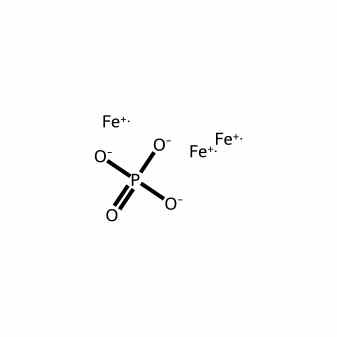 O=P([O-])([O-])[O-].[Fe+].[Fe+].[Fe+]